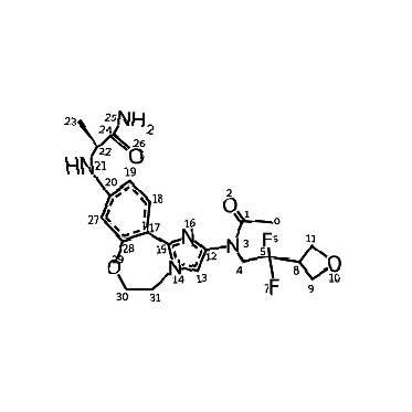 CC(=O)N(CC(F)(F)C1COC1)c1cn2c(n1)-c1ccc(N[C@@H](C)C(N)=O)cc1OCC2